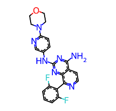 Nc1nc(Nc2ccc(N3CCOCC3)nc2)nc2c(-c3c(F)cccc3F)nccc12